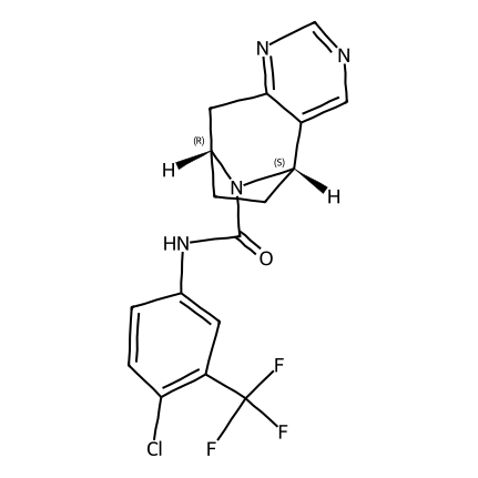 O=C(Nc1ccc(Cl)c(C(F)(F)F)c1)N1[C@@H]2CC[C@H]1c1cncnc1C2